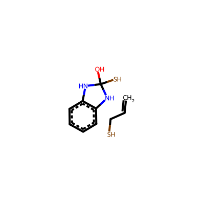 C=CCS.OC1(S)Nc2ccccc2N1